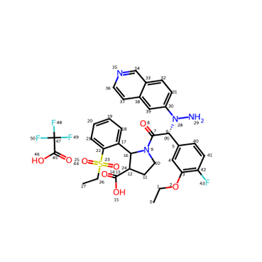 CCOc1cc([C@H](C(=O)N2CCC(C(=O)O)C2c2ccccc2S(=O)(=O)CC)N(N)c2ccc3cnccc3c2)ccc1F.O=C(O)C(F)(F)F